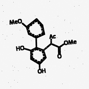 COC(=O)C(C(C)=O)c1cc(O)cc(O)c1-c1cccc(OC)c1